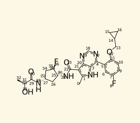 Cc1[nH]c2c(-c3cc(F)ccc3OCC3CC3)ncnc2c1C(=O)N[C@@H]1C[C@H](NC(=O)[C@H](C)O)C[C@H]1F